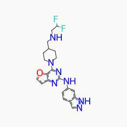 FC(F)CNCC1CCN(c2nc(Nc3ccc4cn[nH]c4c3)nc3ccoc23)CC1